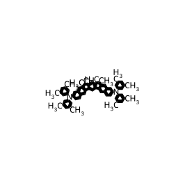 Cc1cc(C)cc(N(c2cc(C)cc(C)c2)c2ccc3cc4c(cc3c2)C(C)(C)c2cc3c(cc2-4)-c2cc4ccc(N(c5cc(C)cc(C)c5)c5cc(C)cc(C)c5)cc4cc2C3(C)C)c1